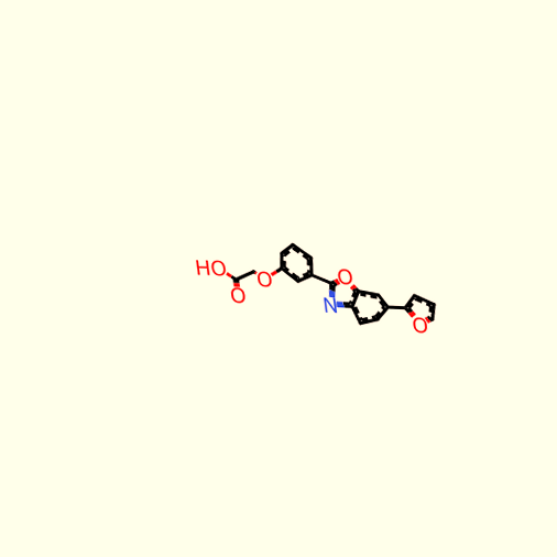 O=C(O)COc1cccc(-c2nc3ccc(-c4ccco4)cc3o2)c1